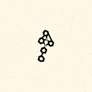 c1ccc(-c2ccc(N3c4cccc5c4B4c6c-5cccc6-c5cccc3c54)cc2)cc1